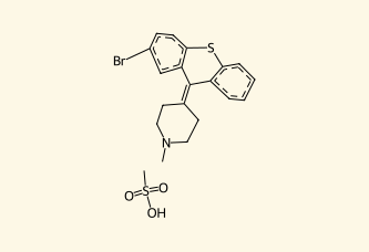 CN1CCC(=C2c3ccccc3Sc3ccc(Br)cc32)CC1.CS(=O)(=O)O